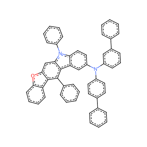 c1ccc(-c2ccc(N(c3cccc(-c4ccccc4)c3)c3ccc4c(c3)c3c(-c5ccccc5)c5c(cc3n4-c3ccccc3)oc3ccccc35)cc2)cc1